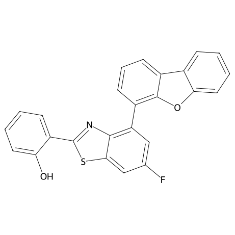 Oc1ccccc1-c1nc2c(-c3cccc4c3oc3ccccc34)cc(F)cc2s1